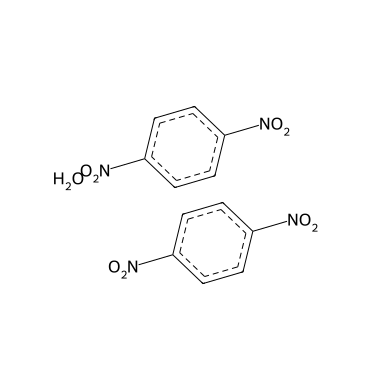 O.O=[N+]([O-])c1ccc([N+](=O)[O-])cc1.O=[N+]([O-])c1ccc([N+](=O)[O-])cc1